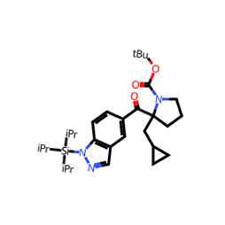 CC(C)[Si](C(C)C)(C(C)C)n1ncc2cc(C(=O)C3(CC4CC4)CCCN3C(=O)OC(C)(C)C)ccc21